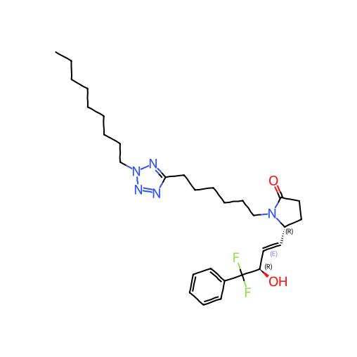 CCCCCCCCCn1nnc(CCCCCCN2C(=O)CC[C@@H]2/C=C/[C@@H](O)C(F)(F)c2ccccc2)n1